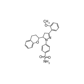 COc1ccccc1C1=NN(c2ccc(S(N)(=O)=O)cc2)C(C2CCc3ccccc3O2)C1